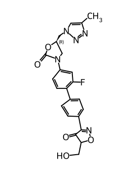 Cc1cn(C[C@H]2CN(c3ccc(-c4ccc(C5=NOC(CO)C5=O)cc4)c(F)c3)C(=O)O2)nn1